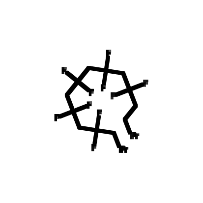 CC(C)CCC(F)(F)CC(F)(F)CC(F)(F)CC(F)(F)CC(F)(F)CC(C)C